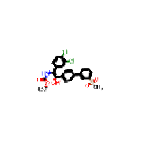 CC(C)(C)OC(=O)NC(c1ccc(Cl)c(Cl)c1)C(O)c1ccc(-c2cccc(S(C)(=O)=O)c2)cc1